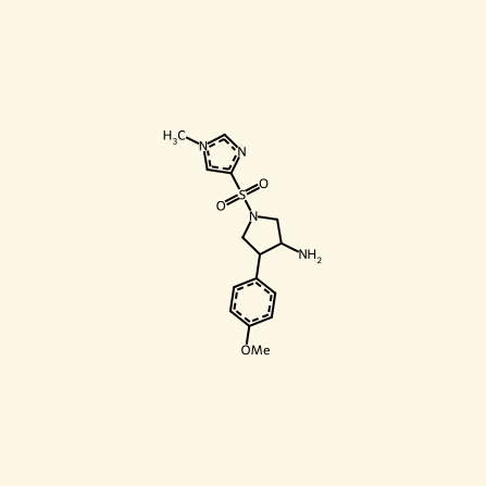 COc1ccc(C2CN(S(=O)(=O)c3cn(C)cn3)CC2N)cc1